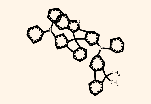 CC1(C)c2ccccc2-c2ccc(N(c3ccccc3)c3ccc4c(c3)C3(c5ccccc5-c5ccc(N(c6ccccc6)c6ccccc6)cc53)c3c-4oc4ccccc34)cc21